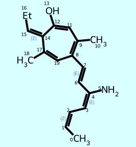 C\C=C/C=C(N)\C=C\C1=C(C)C=C(O)/C(=C\CC)C(C)=C1